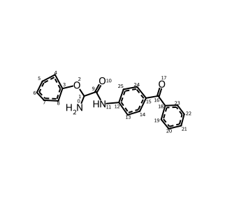 NC(Oc1ccccc1)C(=O)Nc1ccc(C(=O)c2ccccc2)cc1